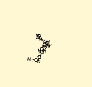 C=C(C)[C@@H]1CC[C@]2(NCCNc3cccnn3)CC[C@]3(C)[C@H](CC[C@@H]4[C@@]5(C)CC=C(c6ccc(C(=O)OC)cc6)C(C)(C)[C@@H]5CC[C@]43C)[C@@H]12